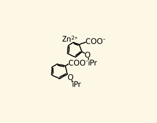 CC(C)Oc1ccccc1C(=O)[O-].CC(C)Oc1ccccc1C(=O)[O-].[Zn+2]